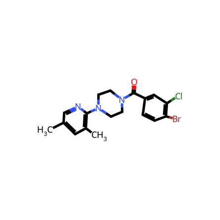 Cc1cnc(N2CCN(C(=O)c3ccc(Br)c(Cl)c3)CC2)c(C)c1